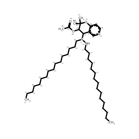 CCCCCCCCCCCCCCCCNN(CCCCCCCCCCCCCCCC)C1c2cnccc2OC(C)(C)C1OC(C)=O